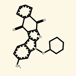 Cc1ccc2c3c4c(oc3n(OC3CCCCC3)c2c1)C(=O)c1ccccc1C4=O